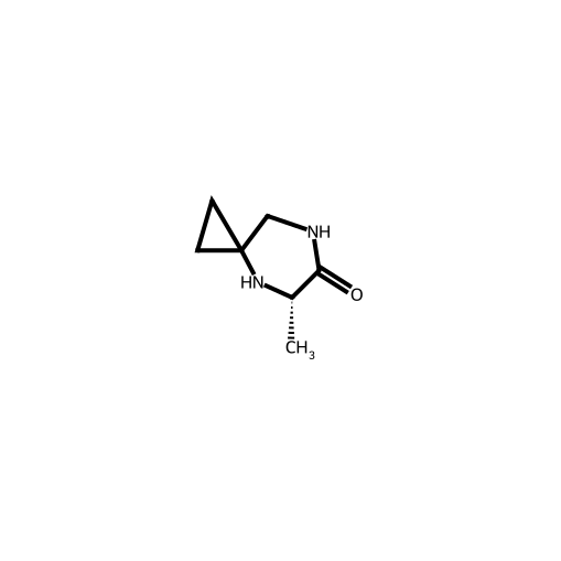 C[C@@H]1NC2(CC2)CNC1=O